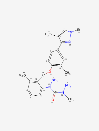 CCn1cc(C)c(-c2ccc(OCc3c(OC)cccc3N(N)C(=O)N(C)N)c(C)c2)n1